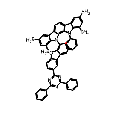 Bc1cc(B)c2c(c1)c1ccc3c4cc(B)cc(B)c4n(-c4cccc5c4oc4ccc(-c6nc(-c7ccccc7)nc(-c7ccccc7)n6)cc45)c3c1n2-c1ccccc1